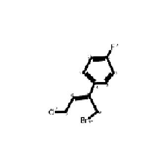 Fc1ccc(C(=CCCl)CBr)cc1